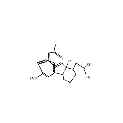 COc1cccc(C2CCCC(CN(C)C)C2(O)c2cccc(F)c2)c1